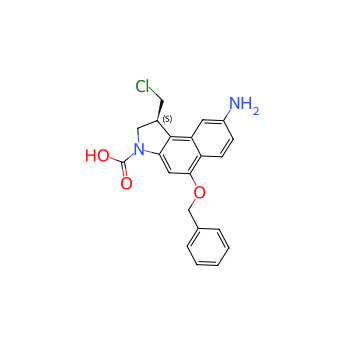 Nc1ccc2c(OCc3ccccc3)cc3c(c2c1)[C@H](CCl)CN3C(=O)O